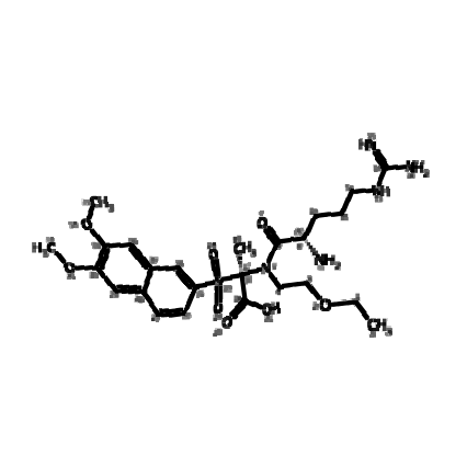 CCOCCN(C(=O)[C@@H](N)CCCNC(=N)N)[C@@](C)(C(=O)O)S(=O)(=O)c1ccc2cc(OC)c(OC)cc2c1